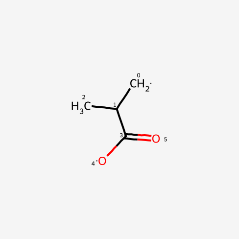 [CH2]C(C)C([O])=O